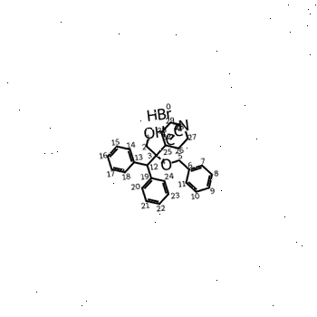 Br.OCC(OCc1ccccc1)(C(c1ccccc1)c1ccccc1)C12CCN(CC1)CC2